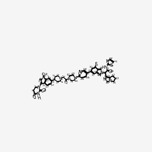 Cn1nc(N2CCC(=O)NC2=O)c2ccc(C3CCN(CC(=O)N4CCN(c5ccc(-c6cc(F)c7cn(C(C(=O)Nc8nccs8)c8ncn9c8CCC9)nc7c6)cn5)CC4)CC3)cc21